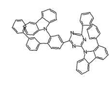 c1ccc(-c2cccc(-c3ccc(-c4nc(-c5ccccc5)nc(-n5c6ccccc6c6cccc(-c7ccccc7)c65)n4)cc3-n3c4ccccc4c4ccccc43)c2)cc1